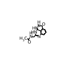 CC(=O)NCC1=Nc2cccc3c2C(NNC3=O)N1